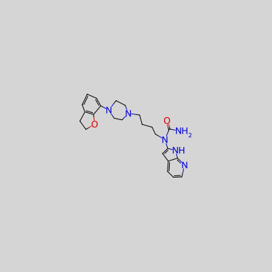 NC(=O)N(CCCCN1CCN(c2cccc3c2OCC3)CC1)c1cc2cccnc2[nH]1